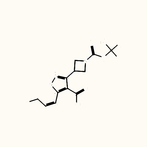 C=C(C)c1c(C2CN(C(=O)OC(C)(C)C)C2)n[nH]c1/C=C\CC